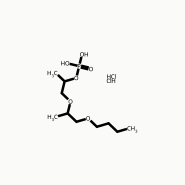 CCCCOCC(C)OCC(C)OP(=O)(O)O.Cl.Cl